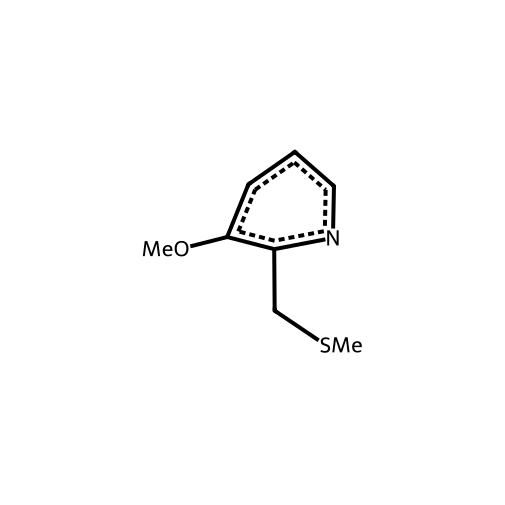 COc1cccnc1CSC